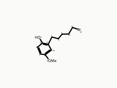 COc1ccc(O)c(CCCCCBr)c1